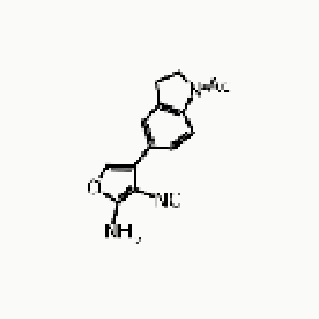 [C-]#[N+]c1c(-c2ccc3c(c2)CCN3C(C)=O)coc1N